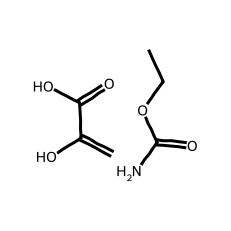 C=C(O)C(=O)O.CCOC(N)=O